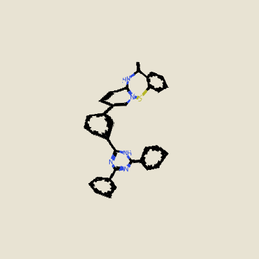 C=C1NC2C=CC(c3cccc(C4=NC(c5ccccc5)=NC(c5ccccc5)N4)c3)=CN2Sc2ccccc21